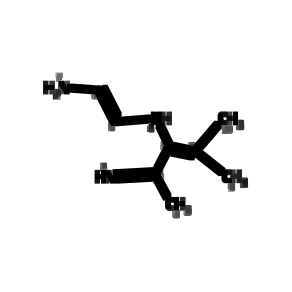 CC(=N)C(N/C=C/N)=C(C)C